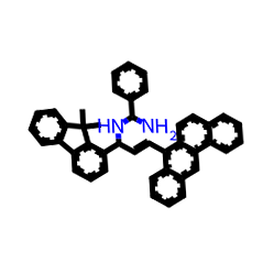 CC1(C)c2ccccc2-c2cccc(C(/C=C/c3c4ccccc4cc4c3ccc3ccccc34)NC(N)c3ccccc3)c21